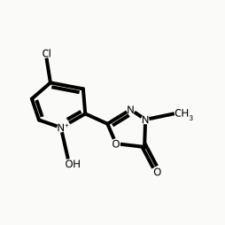 Cn1nc(-c2cc(Cl)cc[n+]2O)oc1=O